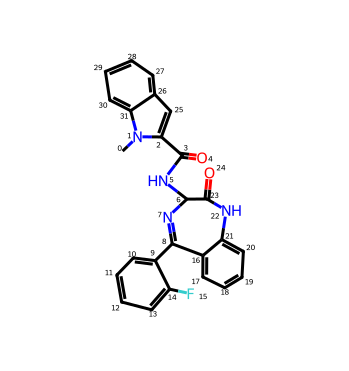 Cn1c(C(=O)NC2N=C(c3ccccc3F)c3ccccc3NC2=O)cc2ccccc21